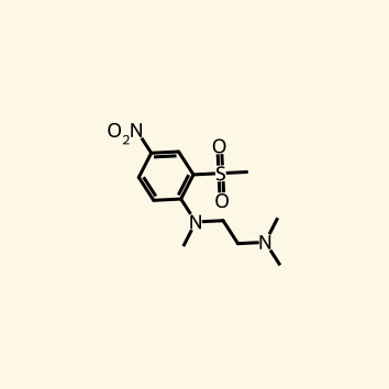 CN(C)CCN(C)c1ccc([N+](=O)[O-])cc1S(C)(=O)=O